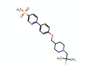 CC(C)(F)CN1CCC(COc2ccc(-c3ccc(S(C)(=O)=O)cn3)cc2)CC1